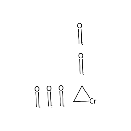 [CH2]1[CH2][Cr]1.[C]=O.[C]=O.[C]=O.[C]=O.[C]=O